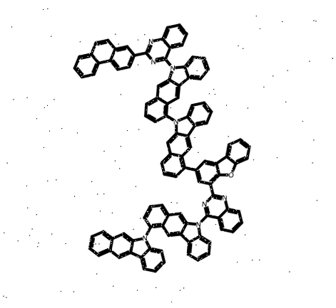 c1ccc2cc3c(cc2c1)c1ccccc1n3-c1cccc2cc3c(cc12)c1ccccc1n3-c1nc(-c2cc(-c3cccc4cc5c(cc34)c3ccccc3n5-c3cccc4cc5c(cc34)c3ccccc3n5-c3nc(-c4ccc5c(ccc6ccccc65)c4)nc4ccccc34)cc3c2oc2ccccc23)nc2ccccc12